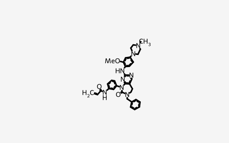 C=CC(=O)Nc1cccc(N2C(=O)N(Cc3ccccc3)CCc3cnc(Nc4ccc(N5CCN(C)CC5)cc4OC)nc32)c1